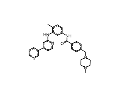 Cc1ccc(NC(=O)c2ccc(CN3CCN(C)CC3)cc2)cc1Nc1cc(-c2cccnc2)ccn1